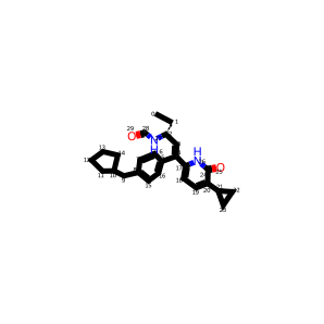 CC[C@H](/C=C(\c1ccc(CC2CCCC2)cc1)c1ccc(C2CC2)c(=O)[nH]1)NC=O